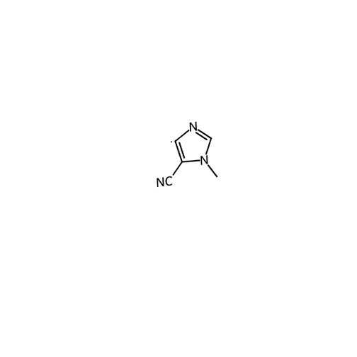 Cn1cn[c]c1C#N